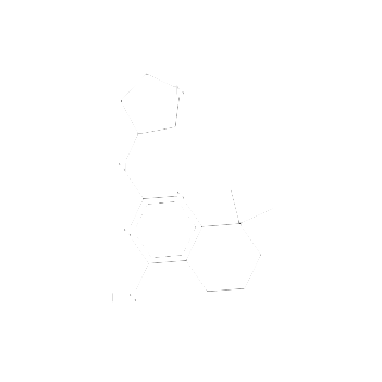 CC1(C)CCCc2c(N)nc(NC3CCNC3)nc21